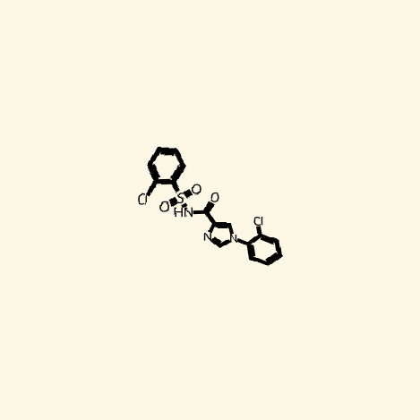 O=C(NS(=O)(=O)c1ccccc1Cl)c1cn(-c2ccccc2Cl)cn1